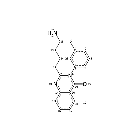 Cc1cccc(-n2c(CCCCN)nc3cccc(C)c3c2=O)c1